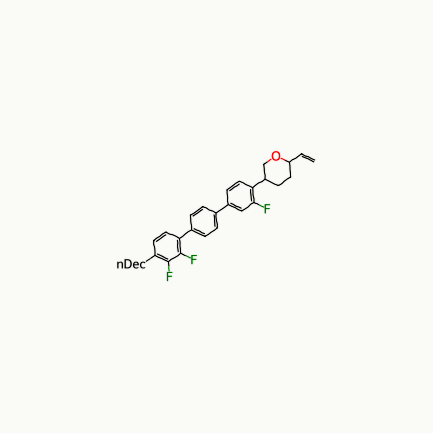 C=CC1CCC(c2ccc(-c3ccc(-c4ccc(CCCCCCCCCC)c(F)c4F)cc3)cc2F)CO1